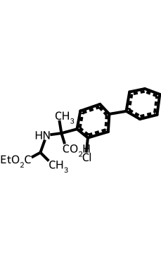 CCOC(=O)C(C)NC(C)(C(=O)O)c1ccc(-c2ccccc2)cc1Cl